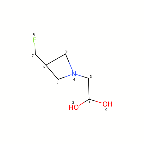 OC(O)CN1CC(CF)C1